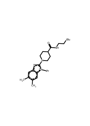 Cc1cc2nc(N3CCC(C(=O)NCCC(C)(C)C)CC3)n(C(C)C)c2cc1C